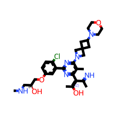 CNC[C@@H](O)COc1ccc(Cl)c(-c2nc(/C(C(C)=N)=C(\C)O)c(C)c(N3CC4(CC(N5CCOCC5)C4)C3)n2)c1